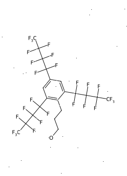 [O]CCCc1c(C(F)(F)C(F)(F)C(F)(F)C(F)(F)F)cc(C(F)(F)C(F)(F)C(F)(F)C(F)(F)F)cc1C(F)(F)C(F)(F)C(F)(F)C(F)(F)F